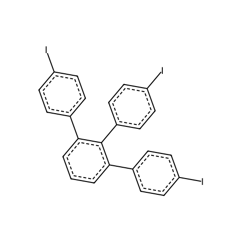 Ic1ccc(-c2cccc(-c3ccc(I)cc3)c2-c2ccc(I)cc2)cc1